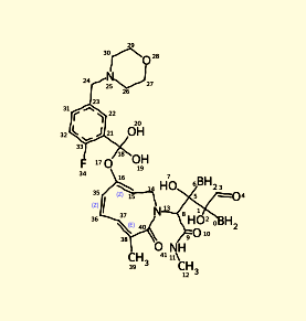 BC(O)(C=O)C(B)(O)C(C(=O)NC)N1C/C=C(OC(O)(O)c2cc(CN3CCOCC3)ccc2F)/C=C\C=C(/C)C1=O